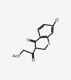 CC(=O)OCC(=O)C1CSc2cc(Cl)ccc2C1=O